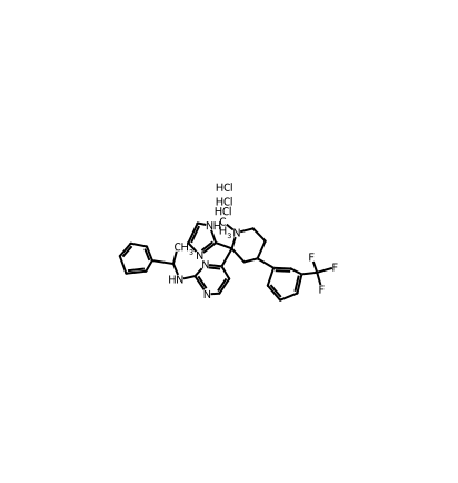 CC(Nc1nccc(C2(c3ncc[nH]3)CC(c3cccc(C(F)(F)F)c3)CCN2C)n1)c1ccccc1.Cl.Cl.Cl